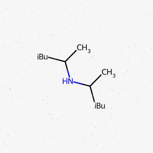 CCC(C)C(C)NC(C)C(C)CC